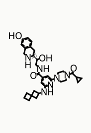 O=C(NCC(O)[C@@H]1Cc2ccc(O)cc2CN1)c1cc(NC2CC3(CCC3)C2)nc(N2CCN(C(=O)C3CC3)CC2)c1